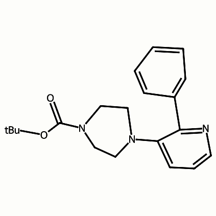 CC(C)(C)OC(=O)N1CCN(c2cccnc2-c2ccccc2)CC1